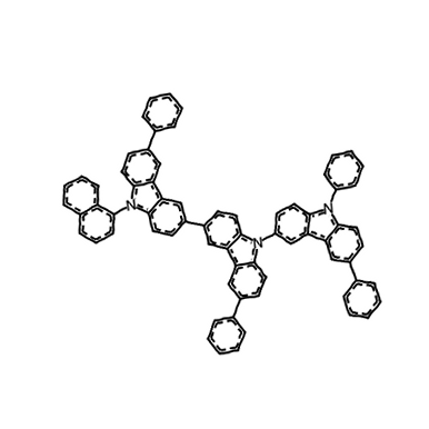 c1ccc(-c2ccc3c(c2)c2cc(-c4ccc5c(c4)c4cc(-c6ccccc6)ccc4n5-c4cccc5ccccc45)ccc2n3-c2ccc3c(c2)c2cc(-c4ccccc4)ccc2n3-c2ccccc2)cc1